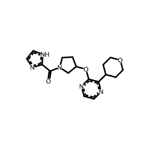 O=C(c1ncc[nH]1)N1CCC(Oc2nccnc2C2CCOCC2)C1